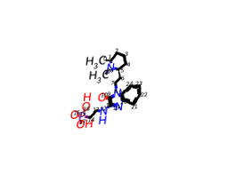 C[C@H]1CCC[C@@H](CCn2c(=O)c(NCCP(=O)(O)O)nc3ccccc32)N1C